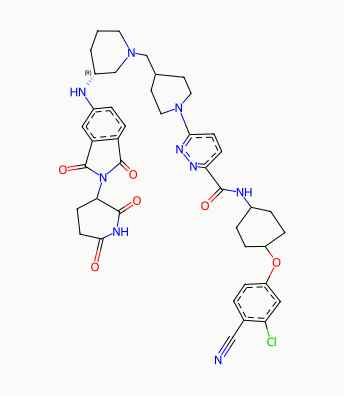 N#Cc1ccc(OC2CCC(NC(=O)c3ccc(N4CCC(CN5CCC[C@@H](Nc6ccc7c(c6)C(=O)N(C6CCC(=O)NC6=O)C7=O)C5)CC4)nn3)CC2)cc1Cl